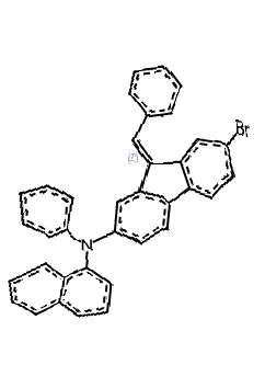 Brc1ccc2c(c1)/C(=C\c1ccccc1)c1cc(N(c3ccccc3)c3cccc4ccccc34)ccc1-2